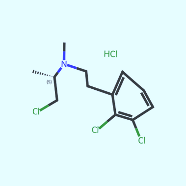 C[C@@H](CCl)N(C)CCc1cccc(Cl)c1Cl.Cl